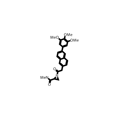 CNC(=O)C1CN1C(=O)Cc1ccc2cc(-c3cc(OC)c(OC)c(OC)c3)ccc2c1